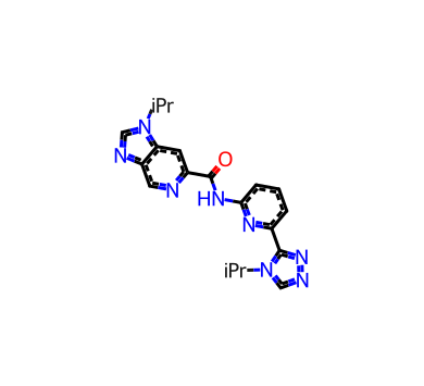 CC(C)n1cnnc1-c1cccc(NC(=O)c2cc3c(cn2)ncn3C(C)C)n1